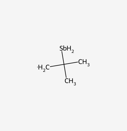 [CH2][C](C)(C)[SbH2]